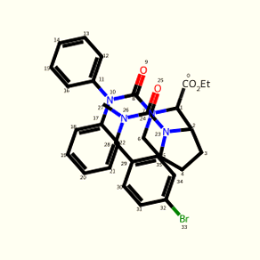 CCOC(=O)C1C2CCC(CN1C(=O)N(c1ccccc1)c1ccccc1)N2C(=O)N(C)Cc1ccc(Br)cc1